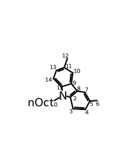 CCCCCCCCn1c2ccc(C)cc2c2cc(C)ccc21